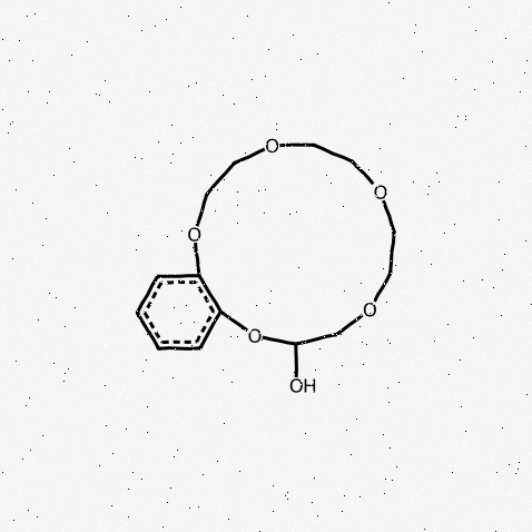 OC1COCCOCCOCCOc2ccccc2O1